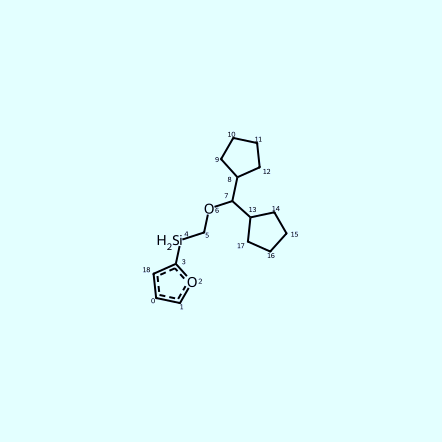 c1coc([SiH2]COC(C2CCCC2)C2CCCC2)c1